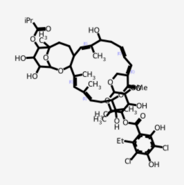 CCc1c(Cl)c(O)c(Cl)c(O)c1C(=O)OC1C(C)OC(OC/C2=C\C=C\CC(O)/C(C)=C/C3CCC4(C)OC(OC3/C(C)=C/C(C)=C/CC(C(C)(C)O)OC2=O)C(O)C(O)C4OC(=O)C(C)C)C(OC)C1O